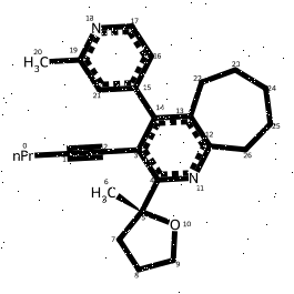 CCCC#Cc1c([C@@]2(C)CCCO2)nc2c(c1-c1ccnc(C)c1)CCCCC2